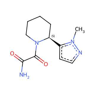 Cn1nccc1[C@@H]1CCCCN1C(=O)C(N)=O